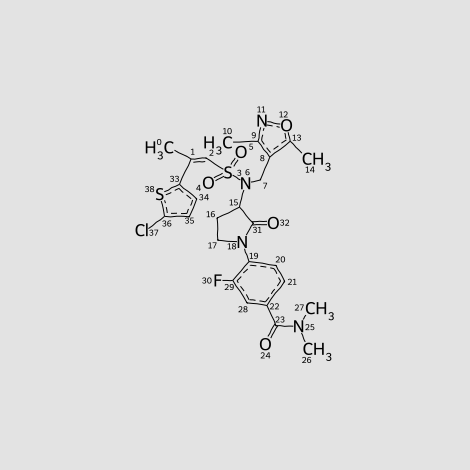 C/C(=C/S(=O)(=O)N(Cc1c(C)noc1C)C1CCN(c2ccc(C(=O)N(C)C)cc2F)C1=O)c1ccc(Cl)s1